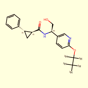 [2H]C([2H])([2H])C([2H])([2H])Oc1ccc([C@H](CO)NC(=O)[C@H]2C[C@@H]2c2ccccc2)cn1